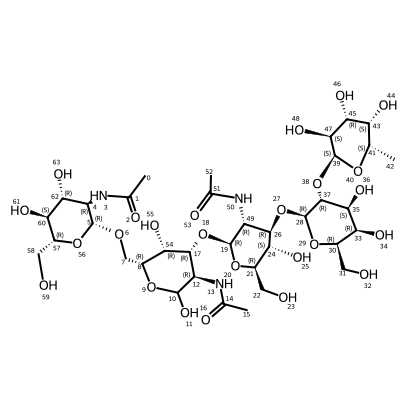 CC(=O)N[C@H]1[C@H](OC[C@H]2OC(O)[C@H](NC(C)=O)[C@@H](O[C@@H]3O[C@H](CO)[C@@H](O)[C@H](O[C@@H]4O[C@H](CO)[C@H](O)[C@H](O)[C@H]4O[C@@H]4O[C@@H](C)[C@@H](O)[C@@H](O)[C@@H]4O)[C@H]3NC(C)=O)[C@H]2O)O[C@H](CO)[C@@H](O)[C@@H]1O